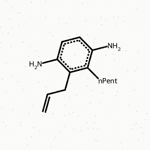 C=CCc1c(N)ccc(N)c1CCCCC